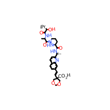 CC(NC(=O)C(O)C(C)C)C(=O)N1CCCC(C(=O)N[C@H](C)c2ccc3ccc(C=CC4(C(=O)O)COCOC4)cc3n2)N1